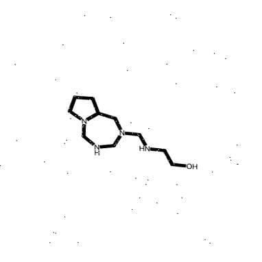 OCCNCN1CNCN2CCCC2C1